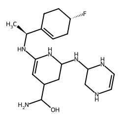 C[C@H](NC1=CC(C(N)O)CC(NC2CNC=CN2)N1)C1=CC[C@@H](F)CC1